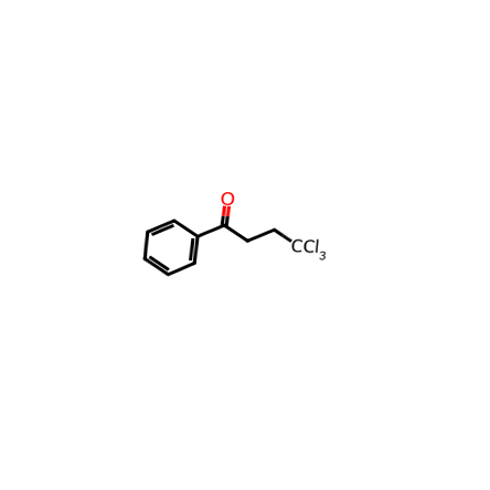 O=C(CCC(Cl)(Cl)Cl)c1ccccc1